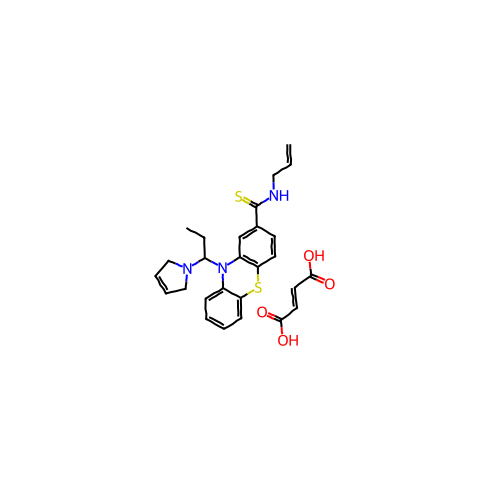 C=CCNC(=S)c1ccc2c(c1)N(C(CC)N1CC=CC1)c1ccccc1S2.O=C(O)C=CC(=O)O